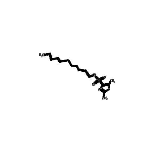 CCCCCCCCCCCOS(=O)(=O)c1nc(C)sc1C